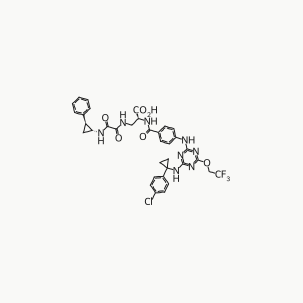 O=C(NC[C@H](NC(=O)c1ccc(Nc2nc(NC3(c4ccc(Cl)cc4)CC3)nc(OCC(F)(F)F)n2)cc1)C(=O)O)C(=O)N[C@@H]1C[C@H]1c1ccccc1